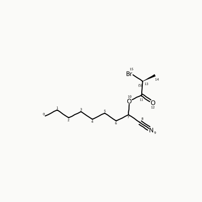 CCCCCCCC(C#N)OC(=O)[C@H](C)Br